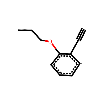 C#Cc1[c]cccc1OCCC